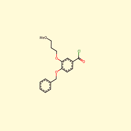 COCCCOc1cc(C(=O)Cl)ccc1OCc1ccccc1